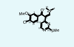 COc1cc(C(=O)/C(=C\N(C)C)c2ccnc(SC)n2)ccc1Cl